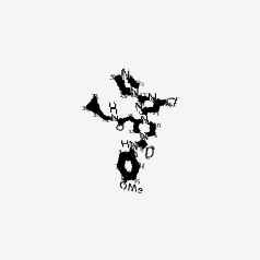 COc1ccc(NC(=O)N2CCN(c3cc(Cl)nc(-n4ccnc4)n3)C(CC(=O)NCC3CC3)C2)cc1